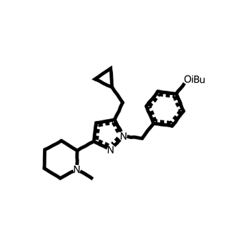 CC(C)COc1ccc(Cn2nc(C3CCCCN3C)cc2CC2CC2)cc1